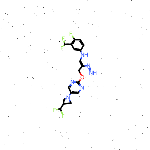 N=N/C(=C\Nc1ccc(F)c(C(F)F)c1)COc1ncc(N2CC(C(F)F)C2)cn1